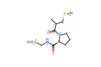 CCOC(=O)CNC(=O)[C@@H]1CCCN1C(=O)C(C)CSC(C)=O